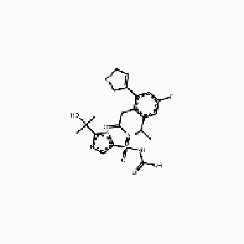 CC(C)c1cc(F)cc(C2=CCOC2)c1CC(=O)N=S(=O)(NC(=O)O)c1cnc(C(C)(C)O)s1